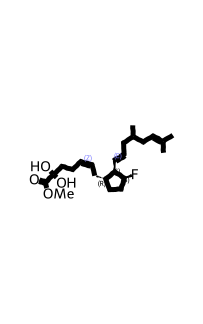 COC(=O)C(O)(O)CC/C=C\C[C@H]1CC[C@H](F)[C@@H]1/C=C/CC(C)CC=C(C)C